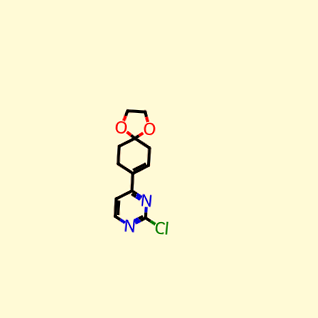 Clc1nccc(C2=CCC3(CC2)OCCO3)n1